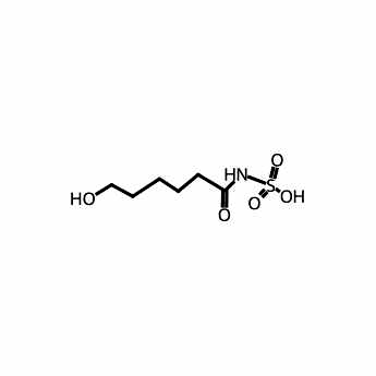 O=C(CCCCCO)NS(=O)(=O)O